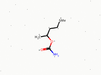 CSCCC(C)OC(N)=O